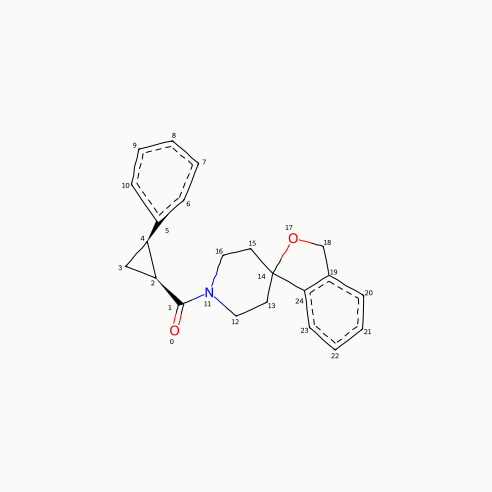 O=C([C@H]1C[C@H]1c1ccccc1)N1CCC2(CC1)OCc1ccccc12